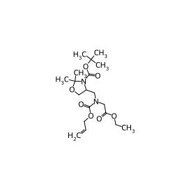 C=CCOC(=O)N(CC(=O)OCC)CC1COC(C)(C)N1C(=O)OC(C)(C)C